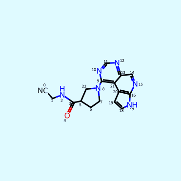 N#CCNC(=O)C1CCN(c2ncnc3cnc4[nH]ccc4c23)C1